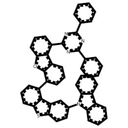 c1ccc(-c2nc(-c3ccccc3)nc(-c3cccc4oc5c(-c6cccc7sc8ccc(-n9c%10ccccc%10c%10ccccc%109)cc8c67)cccc5c34)n2)cc1